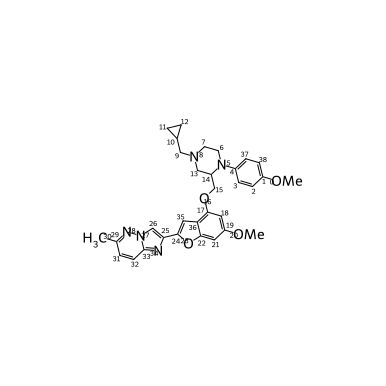 COc1ccc(N2CCN(CC3CC3)CC2COc2cc(OC)cc3oc(-c4cn5nc(C)ccc5n4)cc23)cc1